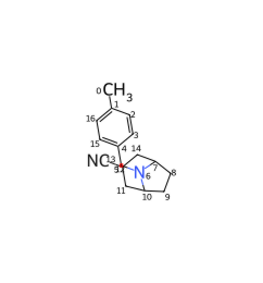 Cc1ccc(CN2C3CCC2CC(C#N)C3)cc1